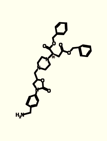 NCc1ccc(N2CC(CN3CCN([C@H](CC(=O)OCc4ccccc4)C(=O)OCc4ccccc4)CC3)OC2=O)cc1